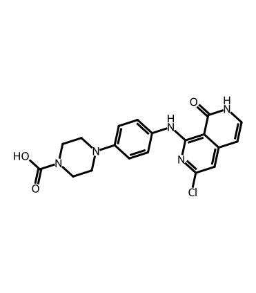 O=C(O)N1CCN(c2ccc(Nc3nc(Cl)cc4cc[nH]c(=O)c34)cc2)CC1